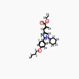 CCCCOc1ccc(-c2nc(/C=C(\C)C(=O)OCC)cn2C2CCCCC2)cc1